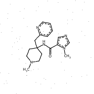 CN1CCC(Cc2ccccn2)(NC(=O)c2cncn2C)CC1